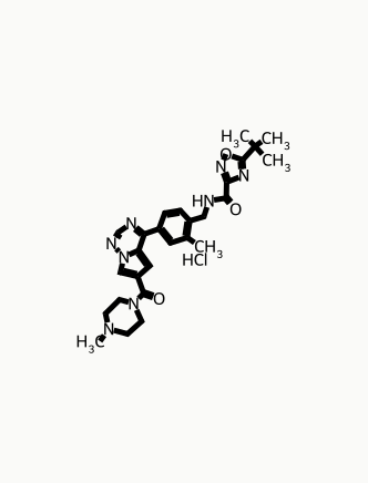 Cc1cc(-c2ncnn3cc(C(=O)N4CCN(C)CC4)cc23)ccc1CNC(=O)c1noc(C(C)(C)C)n1.Cl